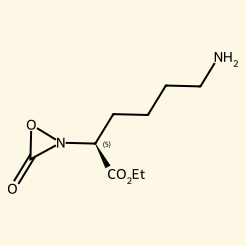 CCOC(=O)[C@H](CCCCN)N1OC1=O